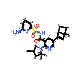 CC1CN(c2ncc(C3=CC4(C)CCC34)cc2C(=O)NS(=O)(=O)c2cccc(N)n2)C(C)(C)C1